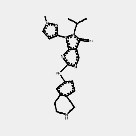 CC(C)n1c(=O)c2cnc(Nc3ccc4c(c3)CCNC4)nc2n1-c1ccn(C)n1